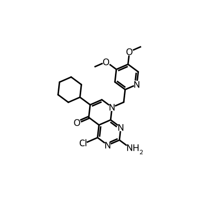 COc1cnc(Cn2cc(C3CCCCC3)c(=O)c3c(Cl)nc(N)nc32)cc1OC